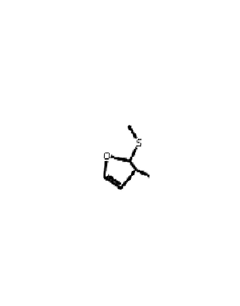 CSC1OC=CC1C